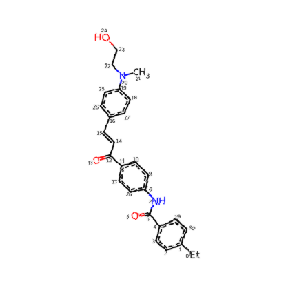 CCc1ccc(C(=O)Nc2ccc(C(=O)/C=C/c3ccc(N(C)CCO)cc3)cc2)cc1